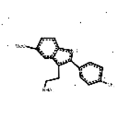 COc1ccc2[nH]c(-c3ccc(C(F)(F)F)cc3)c(CCNC(C)=O)c2c1